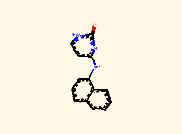 O=c1nc(Nc2cccc3ccccc23)cc[nH]1